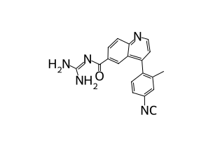 [C-]#[N+]c1ccc(-c2ccnc3ccc(C(=O)N=C(N)N)cc23)c(C)c1